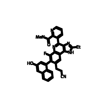 CCc1nc2c(-c3cccnc3C(=O)NC)nc3c(F)c(-c4cc(O)cc5ccccc45)c(CCC#N)cc3c2[nH]1